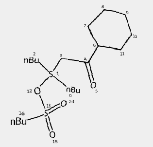 CCCCS(CCCC)(CC(=O)C1CCCCC1)OS(=O)(=O)CCCC